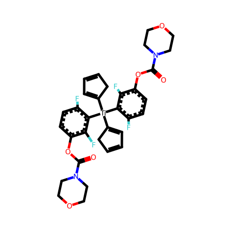 O=C(Oc1ccc(F)[c]([Ti]([C]2=CC=CC2)([C]2=CC=CC2)[c]2c(F)ccc(OC(=O)N3CCOCC3)c2F)c1F)N1CCOCC1